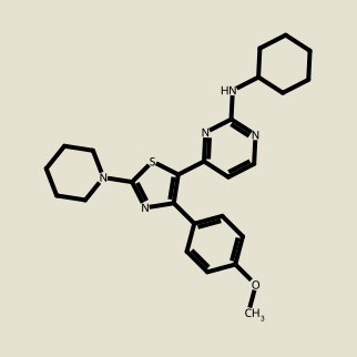 COc1ccc(-c2nc(N3CCCCC3)sc2-c2ccnc(NC3CCCCC3)n2)cc1